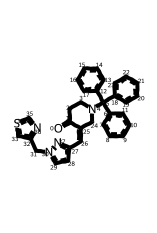 O=C1CCN(C(c2ccccc2)(c2ccccc2)c2ccccc2)CC1=Cc1ccn(Cc2cscn2)n1